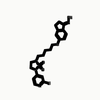 O=S1(=O)N(CCCCCOc2ccc3c(c2)CCC3=NO)CCN1c1ccnc(Cl)c1